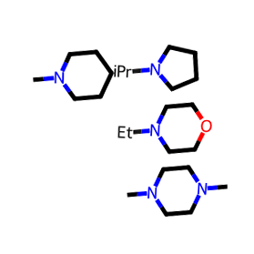 CC(C)N1CCCC1.CCN1CCOCC1.CN1CCCCC1.CN1CCN(C)CC1